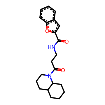 O=C(NCCC(=O)N1CCCC2CCCCC21)c1cc2ccccc2o1